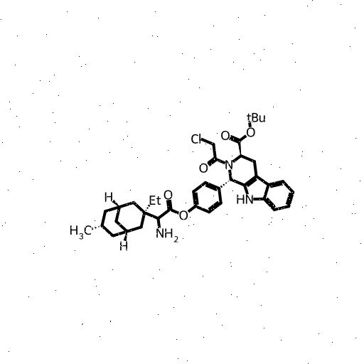 CC[C@]1(C(N)C(=O)Oc2ccc([C@H]3c4[nH]c5ccccc5c4C[C@H](C(=O)OC(C)(C)C)N3C(=O)CCl)cc2)C[C@@H]2C[C@H](C)C[C@@H](C2)C1